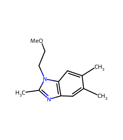 COCCn1c(C)nc2cc(C)c(C)cc21